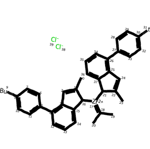 CC1=Cc2c(-c3ccc(C(C)(C)C)cc3)cccc2[CH]1[Zr+2](=[C](C)C)[CH]1C(C)=Cc2c(-c3ccc(C(C)(C)C)cc3)cccc21.[Cl-].[Cl-]